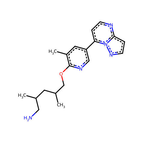 Cc1cc(-c2ccnc3ccnn23)cnc1OCC(C)CC(C)CN